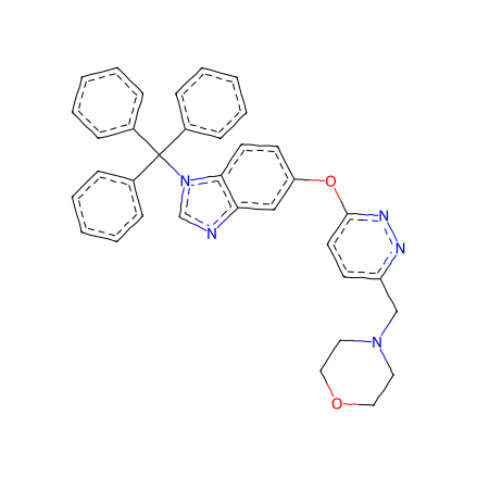 c1ccc(C(c2ccccc2)(c2ccccc2)n2cnc3cc(Oc4ccc(CN5CCOCC5)nn4)ccc32)cc1